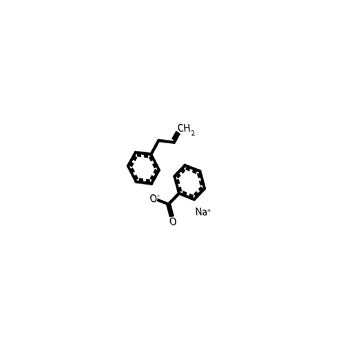 C=CCc1ccccc1.O=C([O-])c1ccccc1.[Na+]